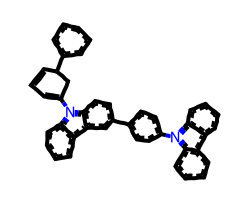 C1=CC(c2ccccc2)CC(n2c3ccccc3c3cc(-c4ccc(-n5c6ccccc6c6ccccc65)cc4)ccc32)=C1